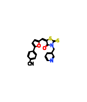 N#Cc1ccc(-c2ccc(C=C3SC(=S)N(Cc4cccnc4)C3=O)o2)cc1